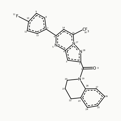 O=C(c1cc2nc(-c3ccc(F)cc3)cc(C(F)(F)F)n2n1)N1CCCc2ccccc21